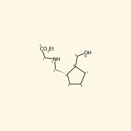 CCOC(=O)CNC[C@H]1CCCC1CO